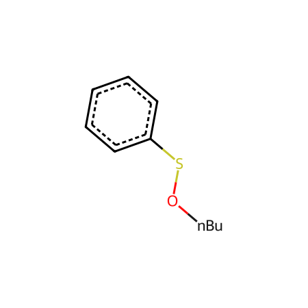 CCCCOSc1ccccc1